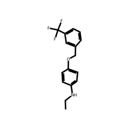 CCNc1ccc(OCc2cccc(C(F)(F)F)c2)cc1